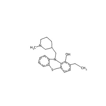 CCc1ccc2c(c1O)N(CC1CCCN(C)C1)c1ccccc1S2